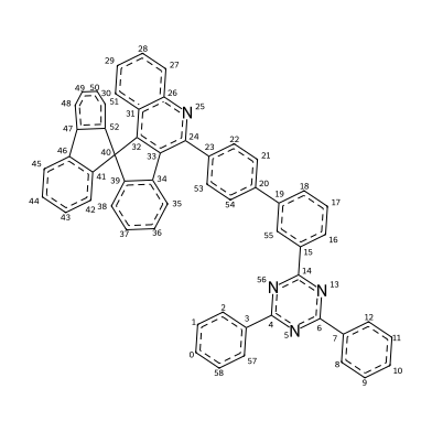 c1ccc(-c2nc(-c3ccccc3)nc(-c3cccc(-c4ccc(-c5nc6ccccc6c6c5-c5ccccc5C65c6ccccc6-c6ccccc65)cc4)c3)n2)cc1